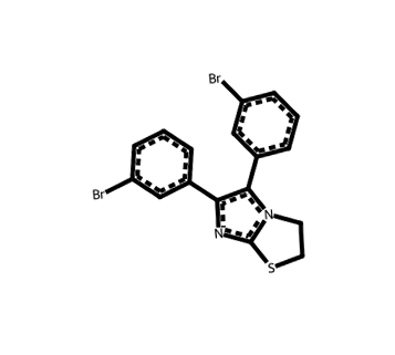 Brc1cccc(-c2nc3n(c2-c2cccc(Br)c2)CCS3)c1